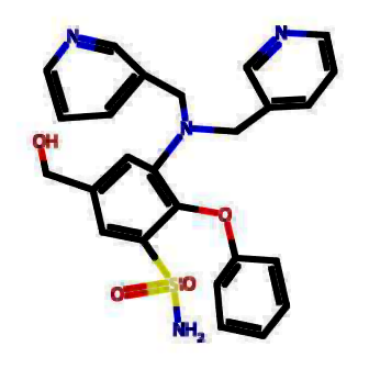 NS(=O)(=O)c1cc(CO)cc(N(Cc2cccnc2)Cc2cccnc2)c1Oc1ccccc1